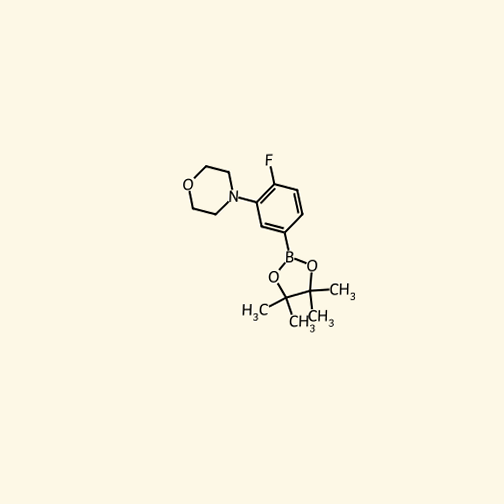 CC1(C)OB(c2ccc(F)c(N3CCOCC3)c2)OC1(C)C